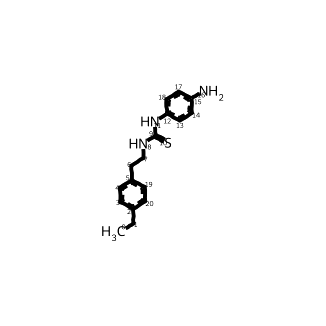 CCc1ccc(CCNC(=S)Nc2ccc(N)cc2)cc1